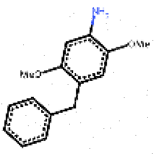 COc1cc(Cc2ccccc2)c(OC)cc1N